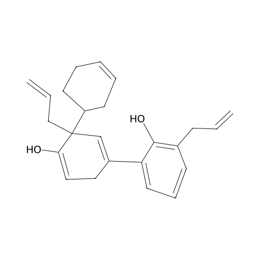 C=CCc1cccc(C2=CC(CC=C)(C3CC=CCC3)C(O)=CC2)c1O